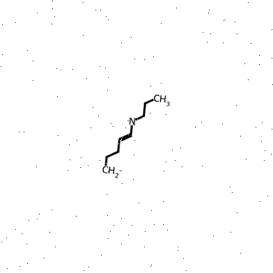 [CH2]CCC=C[N]CCC